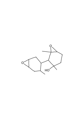 CC1CC2OC2CC1C1C(C)(O)CCC2OC21C